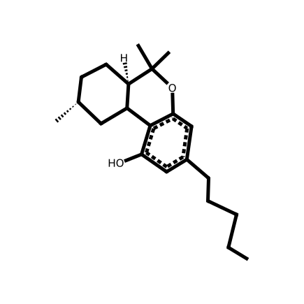 CCCCCc1cc(O)c2c(c1)OC(C)(C)[C@@H]1CC[C@@H](C)CC21